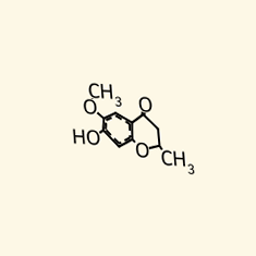 COc1cc2c(cc1O)OC(C)CC2=O